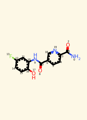 NC(=O)c1ccc(C(=O)Nc2cc(F)ccc2O)cn1